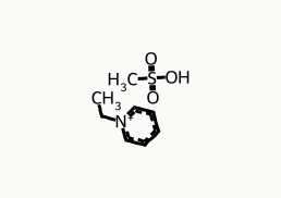 CC[n+]1ccccc1.CS(=O)(=O)O